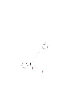 O=C(O)CCCC(=O)c1c(CCCCCCc2cccc(Cl)c2)oc2ccc(Cl)cc12